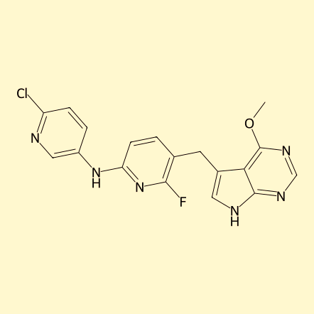 COc1ncnc2[nH]cc(Cc3ccc(Nc4ccc(Cl)nc4)nc3F)c12